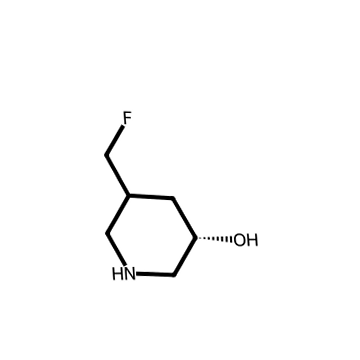 O[C@@H]1CNCC(CF)C1